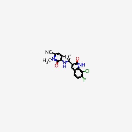 CC(Nc1ccc(C#N)n(C)c1=O)c1cc2ccc(F)c(Cl)c2[nH]c1=O